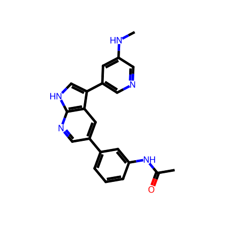 CNc1cncc(-c2c[nH]c3ncc(-c4cccc(NC(C)=O)c4)cc23)c1